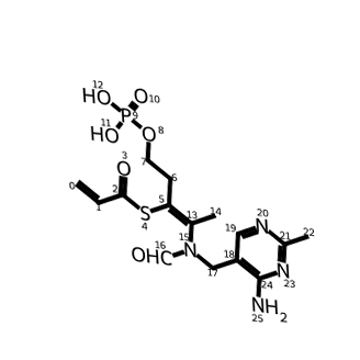 C=CC(=O)S/C(CCOP(=O)(O)O)=C(/C)N(C=O)Cc1cnc(C)nc1N